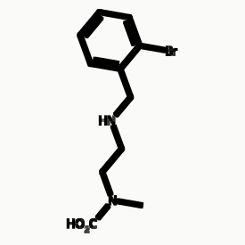 CN(CCNCc1ccccc1Br)C(=O)O